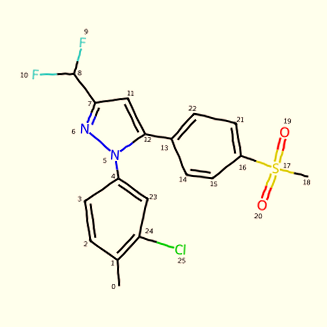 Cc1ccc(-n2nc(C(F)F)cc2-c2ccc(S(C)(=O)=O)cc2)cc1Cl